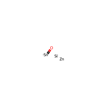 [O]=[Sn].[Si].[Zn]